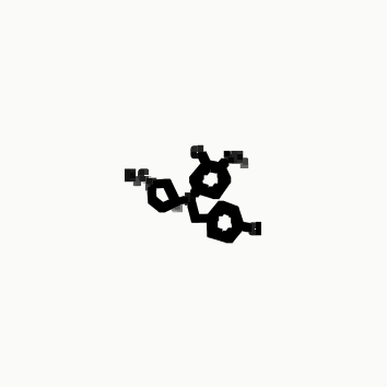 CN1CC[C@H](N(Cc2ccc(Cl)cc2)c2ccc(N)c(Cl)c2)C1